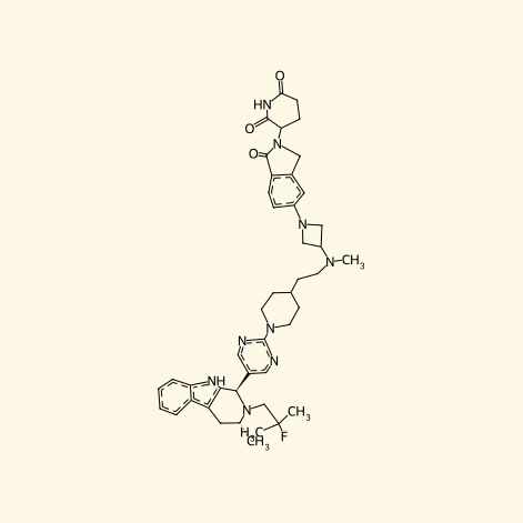 C[C@@H]1Cc2c([nH]c3ccccc23)[C@@H](c2cnc(N3CCC(CCN(C)C4CN(c5ccc6c(c5)CN(C5CCC(=O)NC5=O)C6=O)C4)CC3)nc2)N1CC(C)(C)F